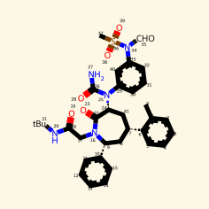 Cc1ccccc1[C@@H]1C[C@H](c2ccccc2)N(CC(=O)NC(C)(C)C)C(=O)[C@H](N(C(N)=O)c2cccc(N(C=O)S(C)(=O)=O)c2)C1